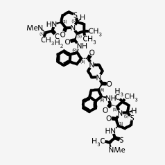 C=C(N[C@H]1CCS[C@H]2CC(C)(C)[C@@H](C(=O)N[C@H]3c4ccccc4C[C@H]3C(=O)N3CCN(C(=O)[C@@H]4Cc5ccccc5[C@@H]4NC(=O)[C@H]4N5C(=O)[C@@H](NC(=S)[C@H](C)NC)CCS[C@H]5CC4(C)C)CC3)N2C1=O)[C@H](C)NC